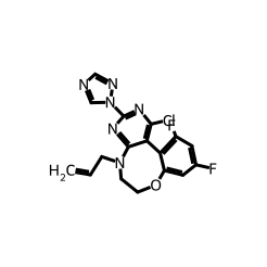 C=CCN1CCOc2cc(F)cc(F)c2-c2c(Cl)nc(-n3cncn3)nc21